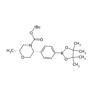 C[C@@H]1CN(C(=O)OC(C)(C)C)[C@H](c2ccc(B3OC(C)(C)C(C)(C)O3)cc2)CO1